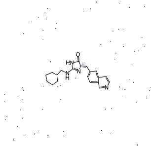 O=C1NC(NCC2CCCCC2)=N/C1=C\c1ccc2cnccc2c1